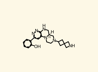 Oc1ccccc1-c1cc2c(nn1)NC[C@H]1CN(C3CC4(CNC4)C3)CCN21